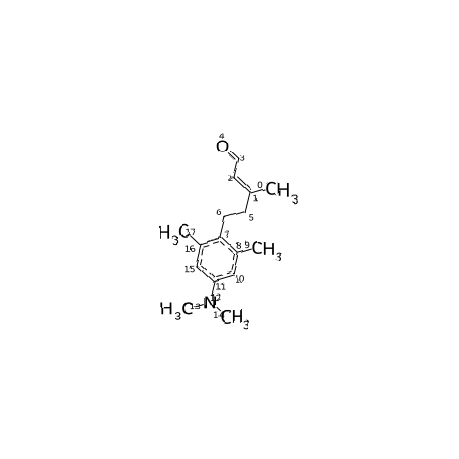 CC(=CC=O)CCc1c(C)cc(N(C)C)cc1C